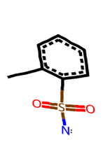 Cc1ccccc1S([N])(=O)=O